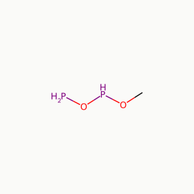 COPOP